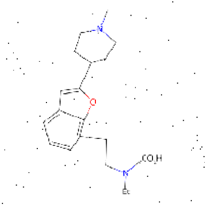 CCN(CCc1cccc2cc(C3CCN(C)CC3)oc12)C(=O)O